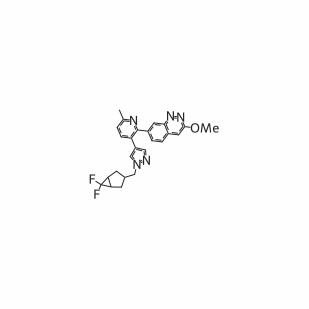 COc1cc2ccc(-c3nc(C)ccc3-c3cnn(CC4CC5C(C4)C5(F)F)c3)cc2nn1